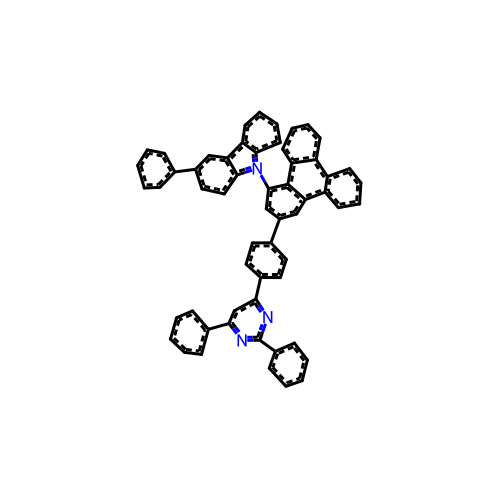 c1ccc(-c2ccc3c(c2)c2ccccc2n3-c2cc(-c3ccc(-c4cc(-c5ccccc5)nc(-c5ccccc5)n4)cc3)cc3c4ccccc4c4ccccc4c23)cc1